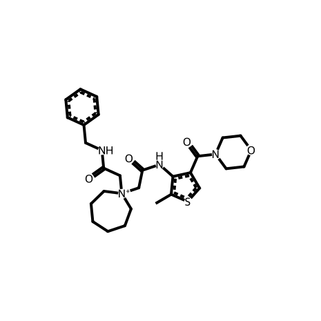 Cc1scc(C(=O)N2CCOCC2)c1NC(=O)C[N+]1(CC(=O)NCc2ccccc2)CCCCCC1